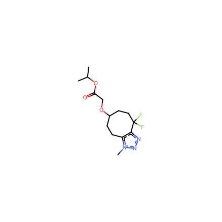 CC(C)OC(=O)COC1CCc2c(nnn2C)C(F)(F)CC1